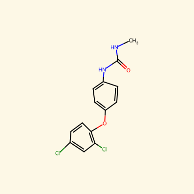 CNC(=O)Nc1ccc(Oc2ccc(Cl)cc2Cl)cc1